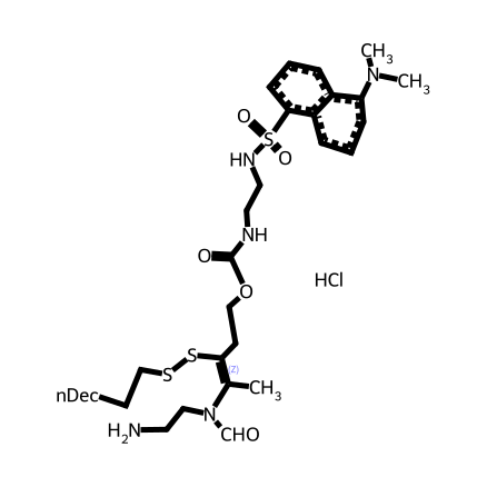 CCCCCCCCCCCCSS/C(CCOC(=O)NCCNS(=O)(=O)c1cccc2c(N(C)C)cccc12)=C(/C)N(C=O)CCN.Cl